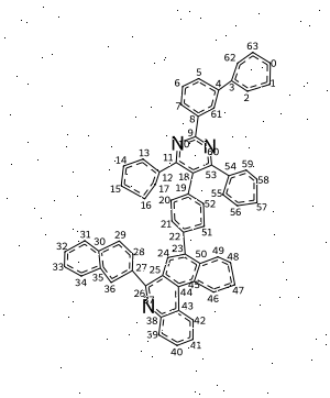 c1ccc(-c2cccc(-c3nc(-c4ccccc4)c(-c4ccc(-c5cc6c(-c7ccc8ccccc8c7)nc7ccccc7c6c6ccccc56)cc4)c(-c4ccccc4)n3)c2)cc1